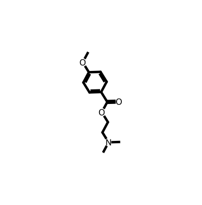 COc1ccc(C(=O)OCCN(C)C)cc1